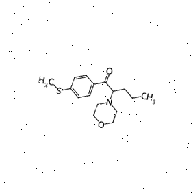 CCCC(C(=O)c1ccc(SC)cc1)N1CCOCC1